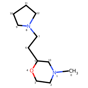 CN1CCOC(CCN2CCCC2)C1